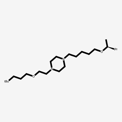 CC(C)[C@H](C)OCCCCCN1CCN(CCOCCCC(C)(C)C)CC1